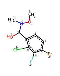 CON(C)C(O)c1ccc(Br)c(F)c1Cl